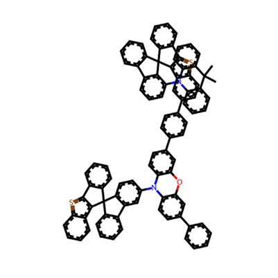 CC1(C)c2ccccc2N(c2cccc3c2C2(c4ccccc4-3)c3ccccc3-c3sc4ccc(-c5ccc(-c6ccc7c(c6)Oc6cc(-c8ccccc8)ccc6N7c6ccc7c(c6)-c6ccccc6C76c7ccccc7-c7sc8ccccc8c76)cc5)cc4c32)c2ccccc21